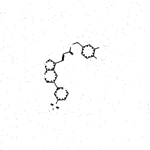 COc1ccc([C@@H](C)NC(=O)/C=C/c2c[nH]c3ncc(-c4cc(S(C)(=O)=O)ccn4)cc23)cc1OC